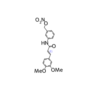 COc1ccc(/C=C/C(=O)Nc2cccc(CO[N+](=O)[O-])c2)cc1OC